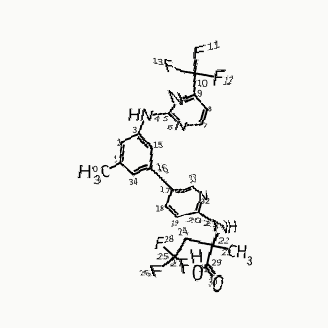 Cc1cc(Nc2nccc(C(F)(F)F)n2)cc(-c2ccc(NC(C)(CC(F)(F)F)C(=O)O)nc2)c1